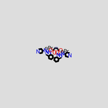 CCCN(c1ccncc1)N1Cc2ccccc2N1OC(=O)/C=C\C(=O)ON1c2ccccc2CN1N(CCC)c1ccncc1